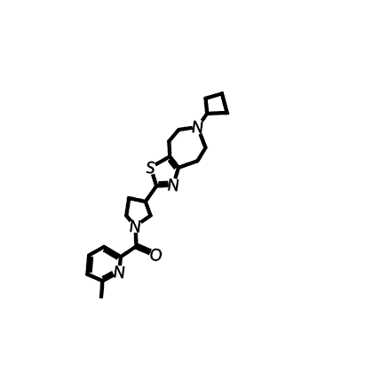 Cc1cccc(C(=O)N2CCC(c3nc4c(s3)CCN(C3CCC3)CC4)C2)n1